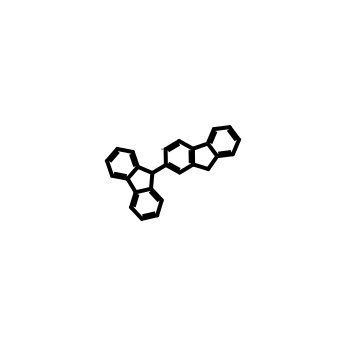 [c]1cc2c(cc1C1c3ccccc3-c3ccccc31)Cc1ccccc1-2